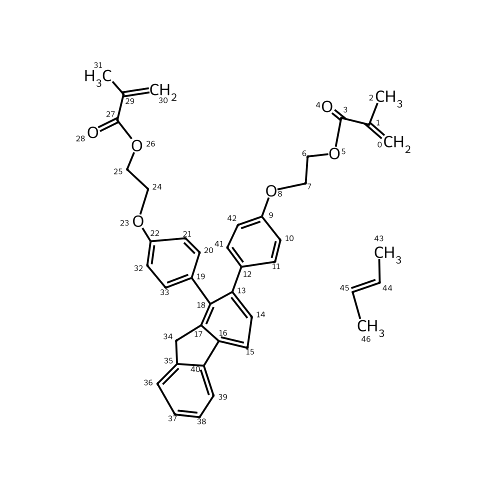 C=C(C)C(=O)OCCOc1ccc(-c2ccc3c(c2-c2ccc(OCCOC(=O)C(=C)C)cc2)Cc2ccccc2-3)cc1.CC=CC